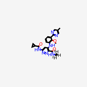 [2H]C([2H])([2H])NC(=O)c1nnc(NC(=O)C2CC2)cc1Nc1cccc(-c2ncc(C)cn2)c1OC